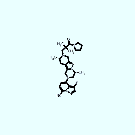 C[C@@H]1CN(c2ccc(C#N)n3ncc(F)c23)Cc2c3c(nn21)CN(CC(C)(C)C(=O)N1CCCC1)[C@@H](C)C3